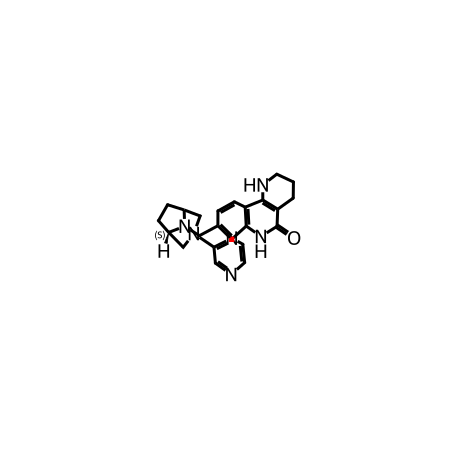 O=c1[nH]c2cc(CN3C4CC[C@H]3CN(c3cnccn3)C4)ccc2c2c1CCCN2